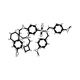 COc1ccc(CN(Cc2ccc(OC)cc2)S(=O)(=O)c2ccc3c(c2)N(CC2CCC2)C[C@@]2(CCCc4cc(Cl)ccc42)CO3)cc1